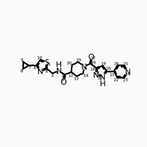 O=C(NCc1nc(C2CC2)cs1)C1CCN(C(=O)c2cc(-c3ccncc3)[nH]n2)CC1